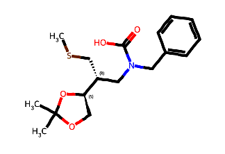 CSC[C@H](CN(Cc1ccccc1)C(=O)O)[C@H]1COC(C)(C)O1